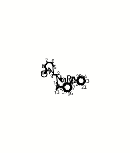 CCCN(CCN1CCCCC1=O)CC(C)c1cccc(Oc2ccccc2)c1